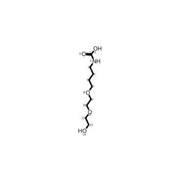 O=C(O)NCCCCOCCOCCO